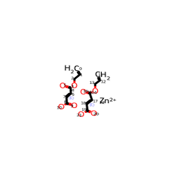 C=CCOC(=O)/C=C/C(=O)[O-].C=CCOC(=O)/C=C/C(=O)[O-].[Zn+2]